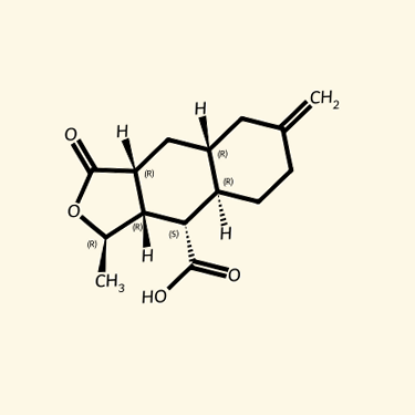 C=C1CC[C@@H]2[C@@H](C1)C[C@H]1C(=O)O[C@H](C)[C@H]1[C@H]2C(=O)O